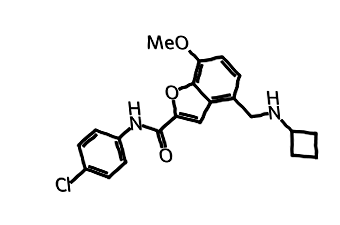 COc1ccc(CNC2CCC2)c2cc(C(=O)Nc3ccc(Cl)cc3)oc12